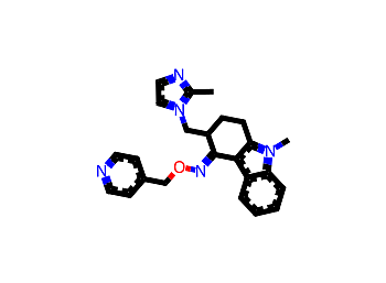 Cc1nccn1CC1CCc2c(c3ccccc3n2C)C1=NOCc1ccncc1